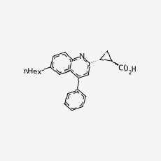 CCCCCCc1ccc2nc([C@@H]3C[C@H]3C(=O)O)cc(-c3ccccc3)c2c1